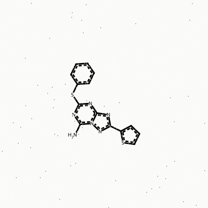 Nc1nc(Sc2ccccc2)nc2nc(-c3cccs3)nn12